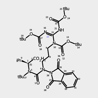 CC(C)[C@@H](C(=O)O)N(C(=O)N(CCCN(C(=O)OC(C)(C)C)/C(=N\C(=O)OC(C)(C)C)NC(=O)OC(C)(C)C)N1C(=O)c2ccccc2C1=O)C(C)(C)C